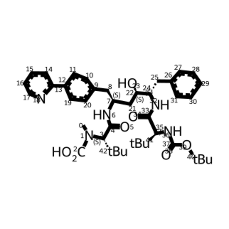 CN(C(=O)O)[C@H](C(=O)N[C@@H](Cc1ccc(-c2ccccn2)cc1)C[C@H](O)[C@H](Cc1ccccc1)NC(=O)[C@@H](NC(=O)OC(C)(C)C)C(C)(C)C)C(C)(C)C